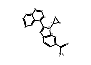 NC(=O)c1ccc2cc(-c3cccc4ccccc34)n(C3CC3)c2c1